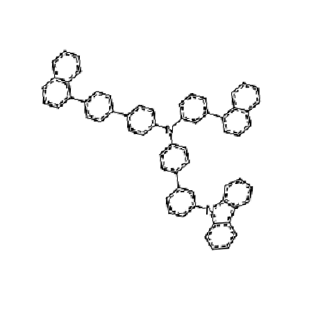 c1cc(-c2cccc3ccccc23)cc(N(c2ccc(-c3ccc(-c4cccc5ccccc45)cc3)cc2)c2ccc(-c3cccc(-n4c5ccccc5c5ccccc54)c3)cc2)c1